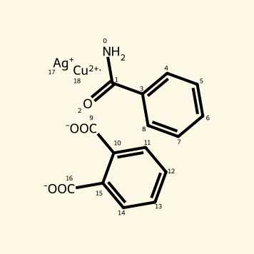 NC(=O)c1ccccc1.O=C([O-])c1ccccc1C(=O)[O-].[Ag+].[Cu+2]